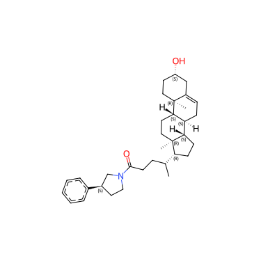 CC(CCC(=O)N1CC[C@@H](c2ccccc2)C1)[C@H]1CC[C@H]2[C@@H]3CC=C4C[C@@H](O)CC[C@]4(C)[C@H]3CC[C@]12C